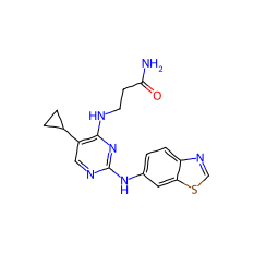 NC(=O)CCNc1nc(Nc2ccc3ncsc3c2)ncc1C1CC1